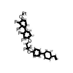 C=CC1CCC(c2ccc(OC(F)(F)COc3ccc(-c4ccc(OCC)c(F)c4F)c(F)c3F)cc2)CC1